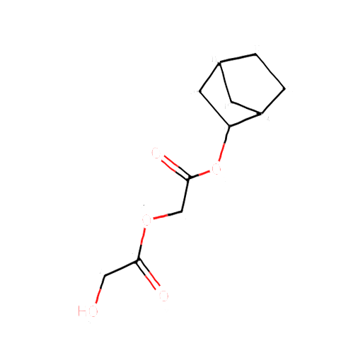 O=C(CO)OCC(=O)OC1CC2CCC1C2